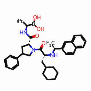 CC(C)C(NC(=O)[C@H]1CC(c2ccccc2)CN1C(=O)[C@@H](CC1CCCCC1)N[C@H](c1ccc2ccccc2c1)C(F)(F)F)B(O)O